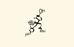 Cc1cc(O)ccc1C(CCCC(C)(C)C)(c1ccc(O)cc1C)C(C)(C)C